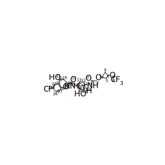 O=C(COC1CC(OC(F)(F)F)C1)NC12CCC(NC(=O)[C@H]3C[C@@H](O)c4cc(Cl)ccc4O3)(CC1)C[C@@H]2O